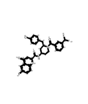 O=C(NC1CCN(C(=O)c2cccc(C(F)F)c2)C(Cc2ccc(Cl)cc2)C1)c1cc(=O)c2cc(F)ccc2o1